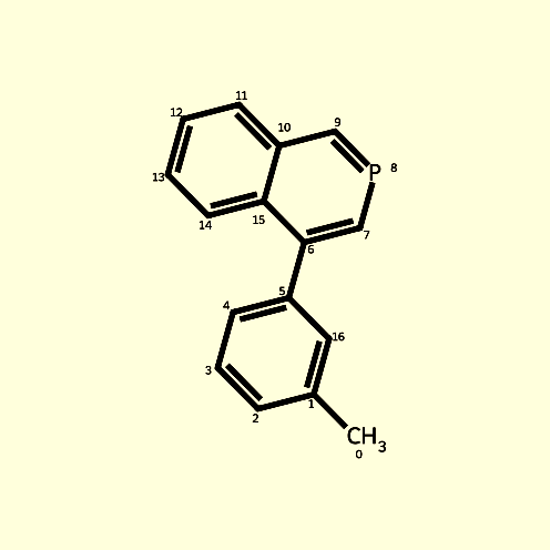 Cc1cccc(-c2cpcc3ccccc23)c1